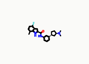 Cc1ccc(F)c2cc(C(=O)Nc3cccc([C@@H]4CC[C@@H](N(C)C)C4)c3)[nH]c12